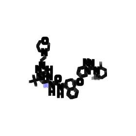 CC1CCC[C@H](C)N1c1nnc2ccc(O[C@@H]3CC[C@H](NC(=O)N/C(=C/C(=N)C(C)(C)C)Nc4cnn(CCN5CCCOCC5)c4)c4ccccc43)cn12